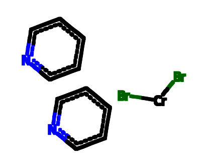 [Br][Cr][Br].c1ccncc1.c1ccncc1